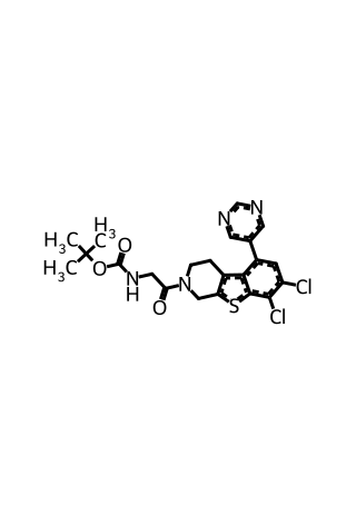 CC(C)(C)OC(=O)NCC(=O)N1CCc2c(sc3c(Cl)c(Cl)cc(-c4cncnc4)c23)C1